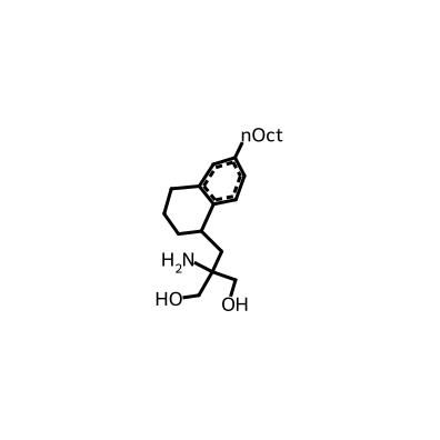 CCCCCCCCc1ccc2c(c1)CCCC2CC(N)(CO)CO